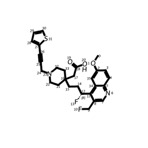 COc1ccc2ncc(CF)c([C@H](F)CCC3(CC(=O)O)CCN(CC#Cc4cccs4)CC3)c2c1